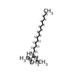 CCCCCCCCCCCCCCCCNC(=NCC)N(C)C